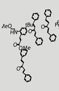 COCCNc1cc(C(C)(C)C)ccc1C=CC(=O)OC.O=C(C=Cc1ccccc1)C=Cc1ccccc1.O=C(C=Cc1ccccc1)C=Cc1ccccc1.O=C(C=Cc1ccccc1)C=Cc1ccccc1.[Pd].[Pd]